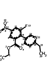 CCOC(=O)c1cc([N+](=O)[O-])cc(F)c1-c1ccc(CC)nc1